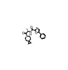 C[C@@H](NC(=O)c1ncc(-c2ccccc2)o1)C(=O)N1CCC2(CC1)CC2